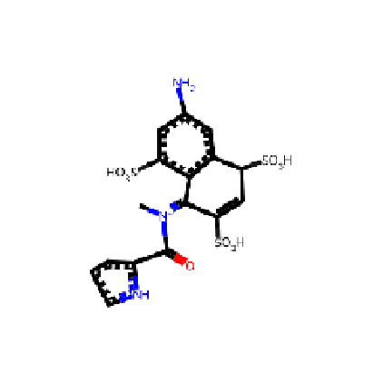 C[N+](C(=O)c1ccc[nH]1)=C1C(S(=O)(=O)O)=CC(S(=O)(=O)O)c2cc(N)cc(S(=O)(=O)O)c21